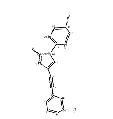 Cc1nc(C#Cc2cccc(Cl)c2)cn1-c1ncc(F)cn1